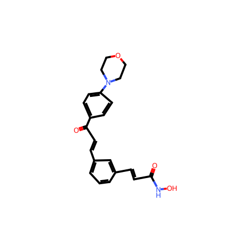 O=C(C=Cc1cccc(C=CC(=O)c2ccc(N3CCOCC3)cc2)c1)NO